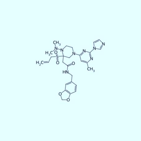 C=CCS(=O)(=O)C1(CC(=O)NCc2ccc3c(c2)OCO3)CN(c2cc(C)nc(-n3ccnc3)n2)CCN1N(C)C